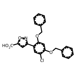 O=C(O)c1cc(-c2cc(Cl)c(OCc3ccccc3)cc2OCc2ccccc2)no1